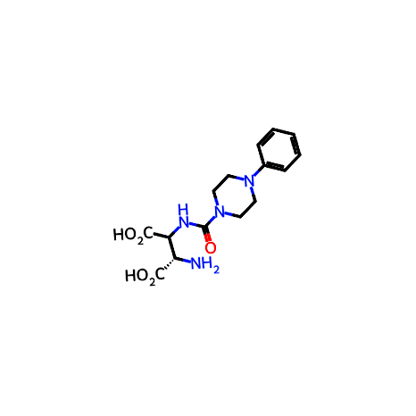 N[C@H](C(=O)O)C(NC(=O)N1CCN(c2ccccc2)CC1)C(=O)O